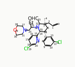 C=CC[C@@]1(C)C[C@H](c2cccc(Cl)c2)[C@@H](c2ccc(Cl)cn2)N(C(CC)CN2CCOCC2)C1C=O